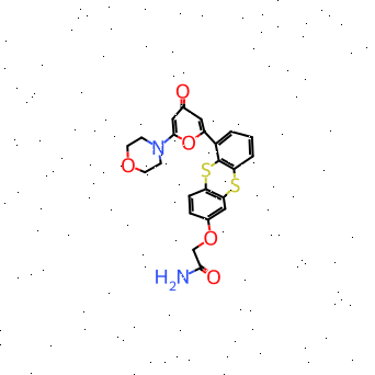 NC(=O)COc1ccc2c(c1)Sc1cccc(-c3cc(=O)cc(N4CCOCC4)o3)c1S2